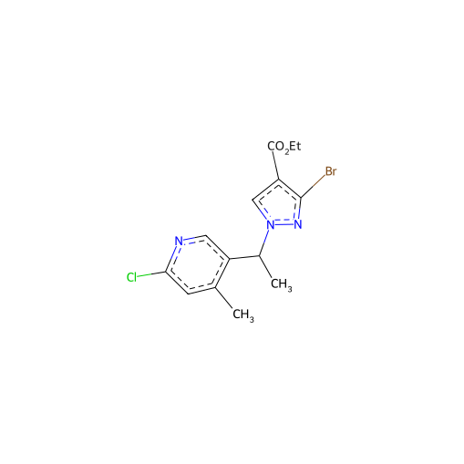 CCOC(=O)c1cn(C(C)c2cnc(Cl)cc2C)nc1Br